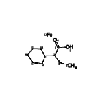 CCC(C(=O)O)C1CCCCC1.[Fe]